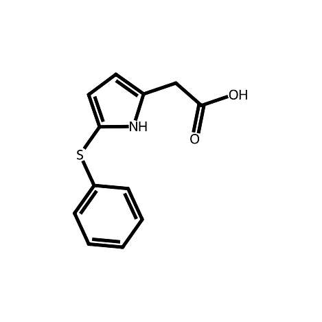 O=C(O)Cc1ccc(Sc2ccccc2)[nH]1